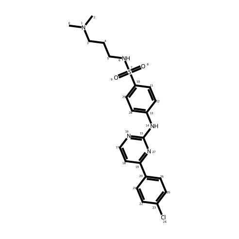 CN(C)CCCNS(=O)(=O)c1ccc(Nc2nccc(-c3ccc(Cl)cc3)n2)cc1